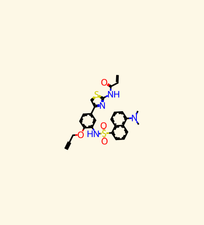 C#CCOc1ccc(-c2csc(NC(=O)C=C)n2)cc1NS(=O)(=O)c1cccc2c(N(C)C)cccc12